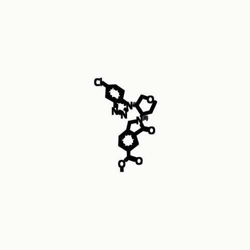 COC(=O)c1ccc2c(c1)C(=O)N([C@@H]1CCOC[C@H]1n1nnc3cc(Cl)ccc31)C2